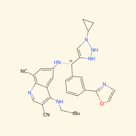 CC(C)(C)CNc1c(C#N)cnc2c(C#N)cc(N[C@H](C3=CN(C4CC4)NN3)c3cccc(-c4ncco4)c3)cc12